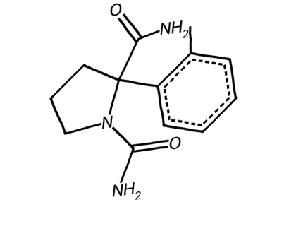 Cc1ccccc1C1(C(N)=O)CCCN1C(N)=O